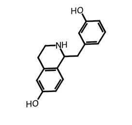 Oc1cccc(CC2NCCc3cc(O)ccc32)c1